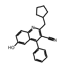 N#Cc1c(CC2CCCC2)nc2ccc(O)cc2c1-c1ccccc1